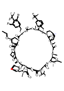 CCO[C@@H]1C[C@H]2C(=O)NC3(CCC3)C(=O)N(C)[C@@H](C3CCCC3)C(=O)N(C)[C@H](C(=O)N(C)CCOC)CC(=O)N(C)[C@@H](CC(F)F)C(=O)N[C@@H]([C@@H](C)CC)C(=O)N(C)CC(=O)N(C)[C@H]3C/C=C\CCN(C3=O)[C@@H](Cc3ccc(C(F)(F)F)cc3)C(=O)N(C)CC(=O)N[C@@H](CCc3cc(F)c(C(F)(F)F)c(F)c3)C(=O)N2C1